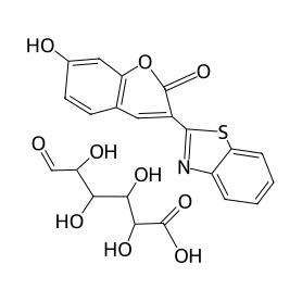 O=CC(O)C(O)C(O)C(O)C(=O)O.O=c1oc2cc(O)ccc2cc1-c1nc2ccccc2s1